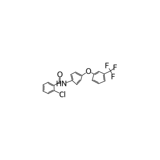 O=C(Nc1ccc(Oc2cccc(C(F)(F)F)c2)cc1)c1ccccc1Cl